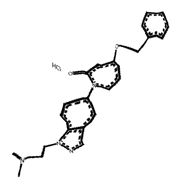 CN(C)CCn1ncc2cc(-n3ccc(OCc4ccccc4)cc3=O)ccc21.Cl